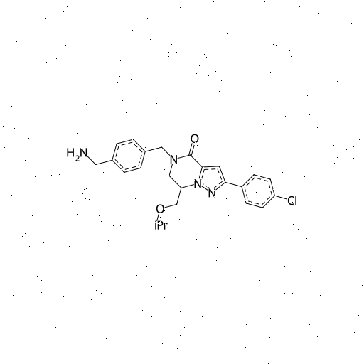 CC(C)OCC1CN(Cc2ccc(CN)cc2)C(=O)c2cc(-c3ccc(Cl)cc3)nn21